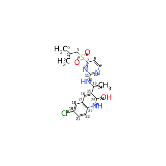 CC(C)CS(=O)(=O)c1ccnc(N[C@@H](C)C2=Cc3cc(Cl)ccc3NC2O)n1